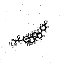 CC(N)C(=O)OC1CC[C@@]2(C)[C@H](CC[C@@H]3[C@@H]2CCC2(C)[C@@H](c4ccc(=O)oc4)CC[C@]32O)C1